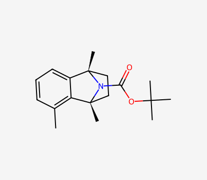 Cc1cccc2c1[C@@]1(C)CC[C@]2(C)N1C(=O)OC(C)(C)C